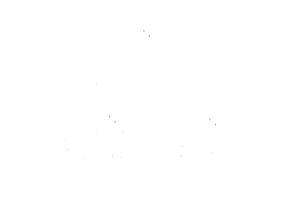 COCCOc1ccccc1N1CCOc2cc(C)ccc2N2CCOCCOCCN(CCOCCOCC2)c2ccc(C)cc2OCC1